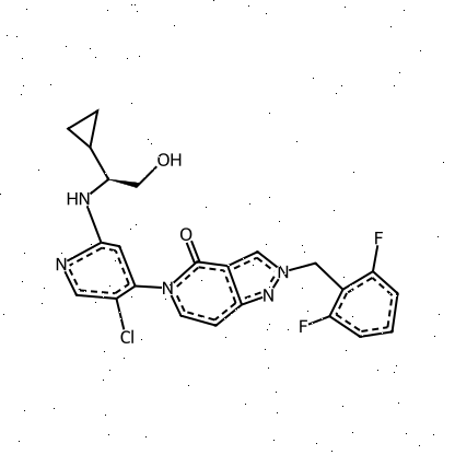 O=c1c2cn(Cc3c(F)cccc3F)nc2ccn1-c1cc(N[C@H](CO)C2CC2)ncc1Cl